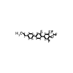 CC=Cc1ccc(-c2ccc(-c3cc(F)c(OC(F)F)c(F)c3)c(F)c2)cc1